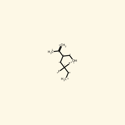 C=C(C)C(CO)CC(F)(F)CC